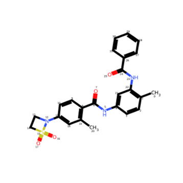 Cc1ccc(NC(=O)c2ccc(N3CCS3(=O)=O)cc2C)cc1NC(=O)c1ccccc1